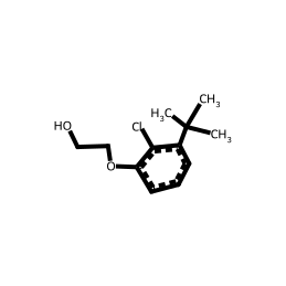 CC(C)(C)c1cccc(OCCO)c1Cl